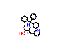 OC1CCN(C(c2ccccc2)(c2ccccc2)c2ccccc2)C/C1=C\c1cccnc1